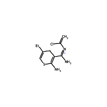 C=C(Cl)/N=C(/N)C1=C(N)SC=C(CC)C1